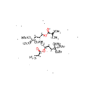 C=C(C)C(=O)OCCC[Si](OC)(OC)OC.C=CC(=O)OC(C)CC[Si](OC)(OC)OC